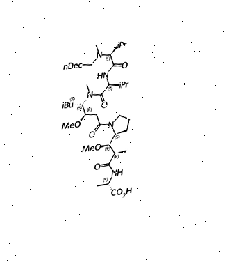 CCCCCCCCCCCN(C)[C@H](C(=O)N[C@H](C(=O)N(C)[C@@H]([C@@H](C)CC)[C@@H](CC(=O)N1CCC[C@H]1[C@H](OC)[C@@H](C)C(=O)N[C@@H](C)C(=O)O)OC)C(C)C)C(C)C